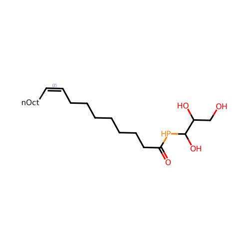 CCCCCCCC/C=C\CCCCCCCC(=O)PC(O)C(O)CO